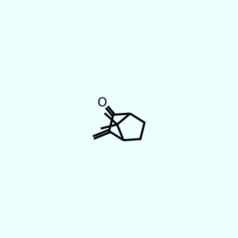 C=C1C(=O)C2CCC1C2(C)C